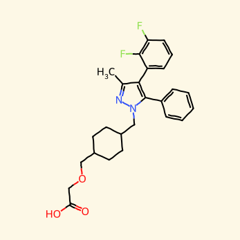 Cc1nn(CC2CCC(COCC(=O)O)CC2)c(-c2ccccc2)c1-c1cccc(F)c1F